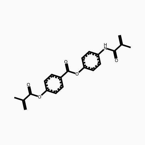 C=C(C)C(=O)Nc1ccc(OC(=O)c2ccc(OC(=O)C(=C)C)cc2)cc1